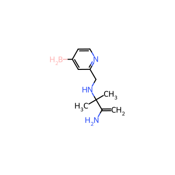 Bc1ccnc(CNC(C)(C)C(=C)N)c1